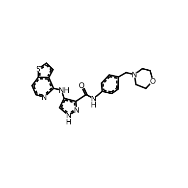 O=C(Nc1ccc(CN2CCOCC2)cc1)c1n[nH]cc1Nc1nccc2sccc12